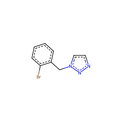 Brc1ccccc1Cn1ccnn1